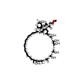 C=CCOC(=O)N[C@@H]1[C@H](O)[C@H](O[C@H]2/C=C/C=C/C=C/C=C/C=C/C=C/C=C/C(C)[C@@H](O)[C@@H](C)[C@H](C)OC(=O)C[C@H](O)C[C@H](O)CC[C@@H](O)[C@H](O)C[C@H](O)C[C@]3(O)C[C@H](OC(=O)OCC=C)[C@@H](C(=O)O)[C@H](C2)O3)O[C@H](C)[C@H]1O